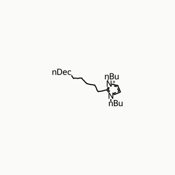 CCCCCCCCCCCCCCCc1n(CCCC)cc[n+]1CCCC